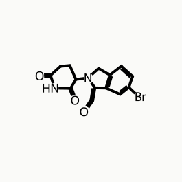 O=C=C1c2cc(Br)ccc2CN1C1CCC(=O)NC1=O